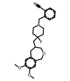 COc1cc2c(cc1OC)CC(CC1(F)CCN(Cc3ccccc3C#N)CC1)COC2